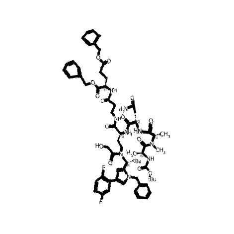 C[C@H](NC(=O)OC(C)(C)C)C(=O)N(C)[C@@H](C)C(=O)N[C@@H](CC(N)=O)C(=O)N[C@@H](CCN(C(=O)CO)[C@@H](c1cc(-c2cc(F)ccc2F)cn1Cc1ccccc1)C(C)(C)C)C(=O)NCCC(=O)N[C@H](CCC(=O)OCc1ccccc1)C(=O)OCc1ccccc1